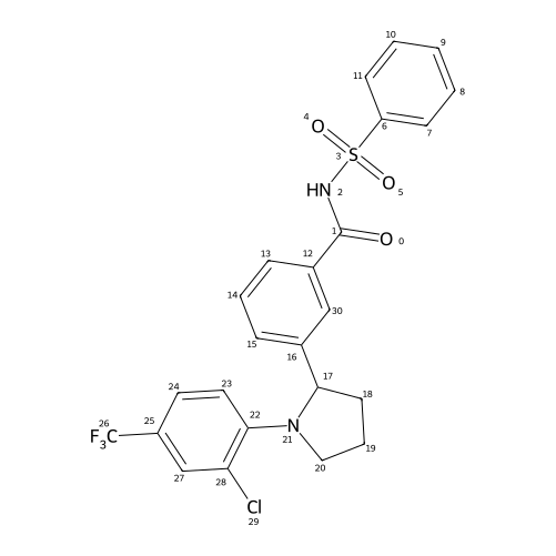 O=C(NS(=O)(=O)c1ccccc1)c1cccc(C2CCCN2c2ccc(C(F)(F)F)cc2Cl)c1